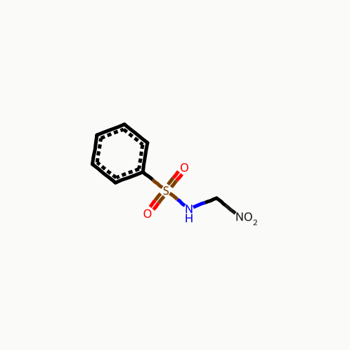 O=[N+]([O-])CNS(=O)(=O)c1ccccc1